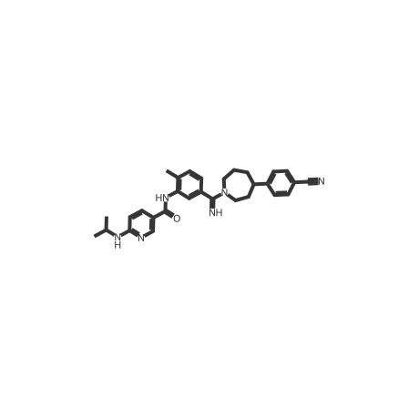 Cc1ccc(C(=N)N2CCCC(c3ccc(C#N)cc3)CC2)cc1NC(=O)c1ccc(NC(C)C)nc1